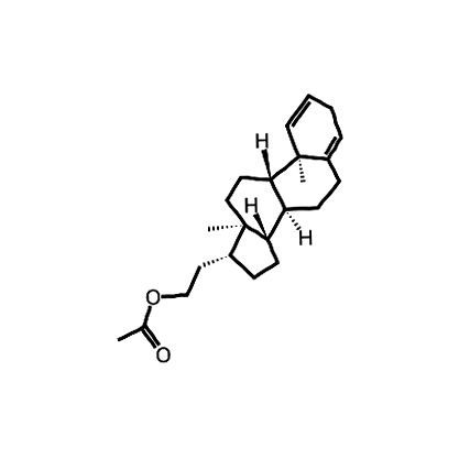 CC(=O)OCC[C@H]1CC[C@H]2[C@@H]3CCC4=CCC=C[C@]4(C)[C@H]3CC[C@]12C